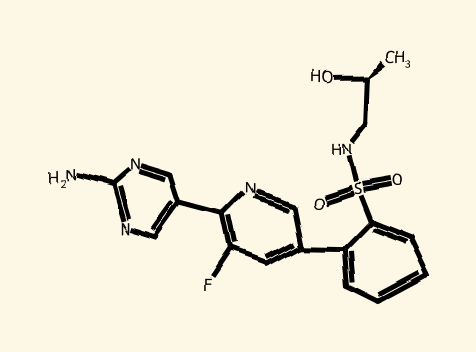 C[C@H](O)CNS(=O)(=O)c1ccccc1-c1cnc(-c2cnc(N)nc2)c(F)c1